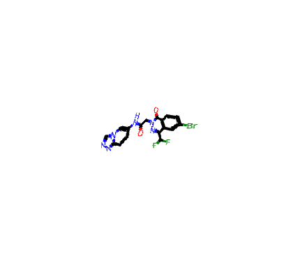 O=C(Cn1nc(C(F)F)c2cc(Br)ccc2c1=O)Nc1ccc2nncn2c1